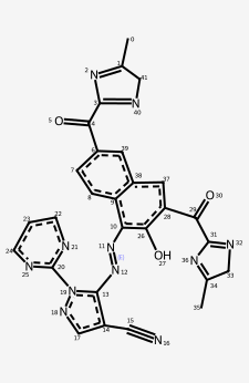 CC1=NC(C(=O)c2ccc3c(/N=N/c4c(C#N)cnn4-c4ncccn4)c(O)c(C(=O)C4=NCC(C)=N4)cc3c2)=NC1